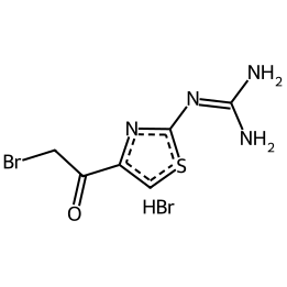 Br.NC(N)=Nc1nc(C(=O)CBr)cs1